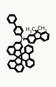 CC1(C)c2ccccc2-c2ccc(N(c3ccc(-c4ccccc4)cc3)c3cc4c5c(cccc5c3)C35c6cccc7cccc(c67)C36c3ccccc3-c3ccccc3C465)cc21